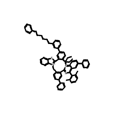 CCC1(CC)c2ccc(-c3cccc(CCCCCCc4ccccc4)c3)cc2-c2sc3ccccc3[n+]2Cc2ccc(-c3ccccc3)cc2-c2nc(-c3c(C)cccc3C)c3cc(-c4ccccc4)ccc3[n+]21